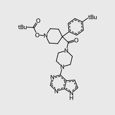 CC(C)(C)C(=O)ON1CCC(C(=O)N2CCN(c3ncnc4[nH]ccc34)CC2)(c2ccc(C(C)(C)C)cc2)CC1